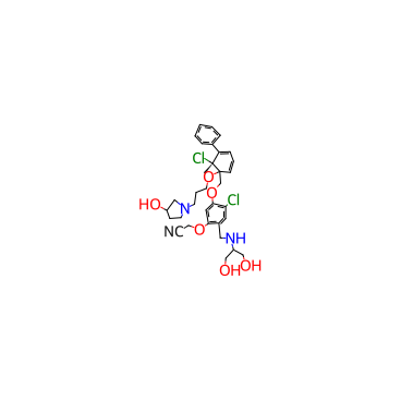 C[C@@]1(Cl)C(c2ccccc2)=CC=CC1(COc1cc(OCC#N)c(CNC(CO)CO)cc1Cl)OCCCN1CCC(O)C1